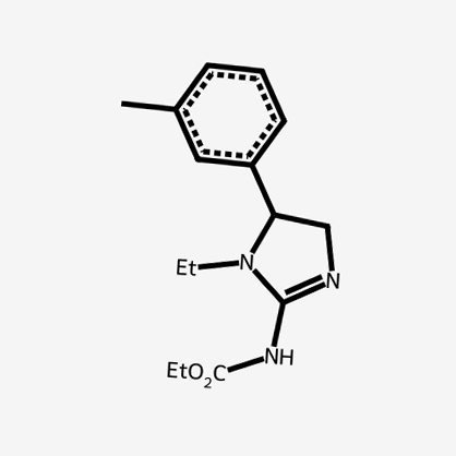 CCOC(=O)NC1=NCC(c2cccc(C)c2)N1CC